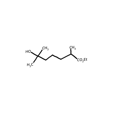 CCOC(=O)C(C)CCCC(C)(C)O